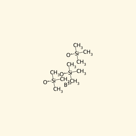 C[Si](C)(C)[O-].C[Si](C)(C)[O-].C[Si](C)(C)[O-].[B+3]